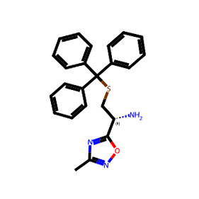 Cc1noc([C@@H](N)CSC(c2ccccc2)(c2ccccc2)c2ccccc2)n1